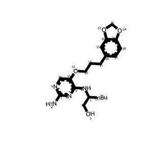 CCCCC(CO)Nc1nc(N)ncc1OCCCc1ccc2c(c1)OCO2